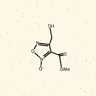 COC(=O)c1c(CO)no[n+]1[O-]